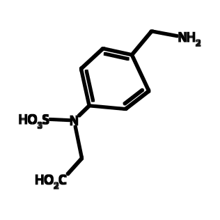 NCc1ccc(N(CC(=O)O)S(=O)(=O)O)cc1